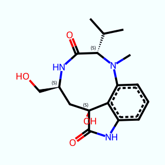 CC(C)[C@H]1C(=O)N[C@H](CO)C[C@@]2(O)C(=O)Nc3cccc(c32)N1C